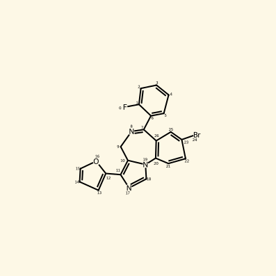 Fc1ccccc1C1=NCc2c(-c3ccco3)ncn2-c2ccc(Br)cc21